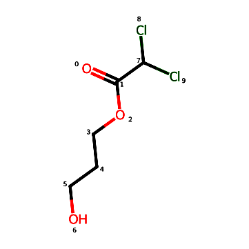 O=C(OCCCO)C(Cl)Cl